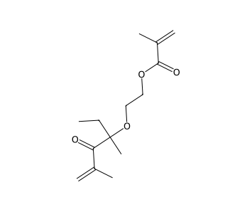 C=C(C)C(=O)OCCOC(C)(CC)C(=O)C(=C)C